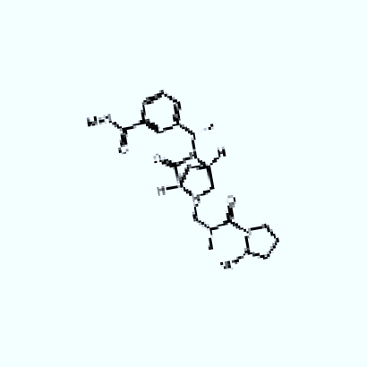 CNC(=O)c1cccc([C@H](C)N2C(=O)[C@@H]3C[C@H]2CN3C[C@H](C)C(=O)N2CCC[C@H]2C#N)c1